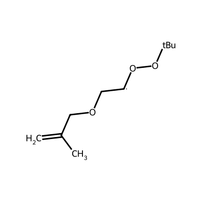 C=C(C)COC[CH]OOC(C)(C)C